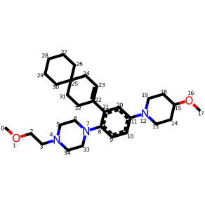 COCCN1CCN(c2ccc(N3CCC(OC)CC3)cc2C2=CCC3(CCCCC3)CC2)CC1